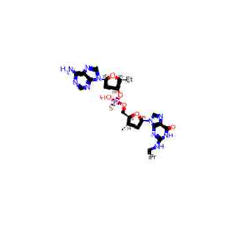 CC[C@H]1O[C@@H](n2cnc3c(N)ncnc32)C[C@@H]1OP(O)(=S)OC[C@H]1O[C@@H](n2cnc3c(=O)[nH]c(NCC(C)C)nc32)C[C@@H]1C